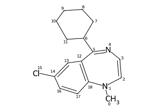 CN1C=CN=C(C2CCCCC2)c2cc(Cl)ccc21